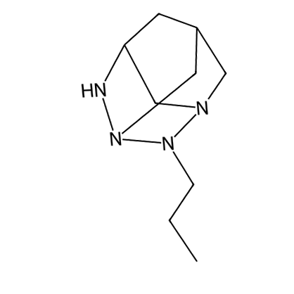 CCCN1N2CC3CC(C2)NN1C3